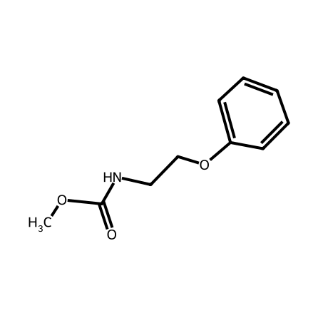 COC(=O)NCCOc1ccccc1